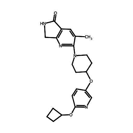 Cc1cc2c(nc1N1CCC(Oc3ccc(OC4CCC4)nc3)CC1)CNC2=O